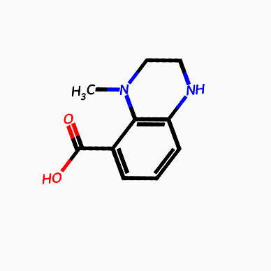 CN1CCNc2cccc(C(=O)O)c21